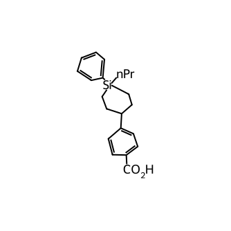 CCC[Si]1(c2ccccc2)CCC(c2ccc(C(=O)O)cc2)CC1